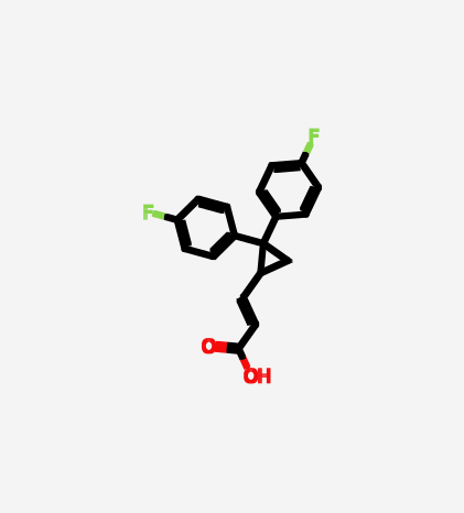 O=C(O)/C=C/C1CC1(c1ccc(F)cc1)c1ccc(F)cc1